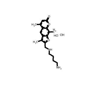 Cc1cc(=O)oc2c(C)c3oc(CNCCCCN)c(C)c3cc12.Cl.Cl